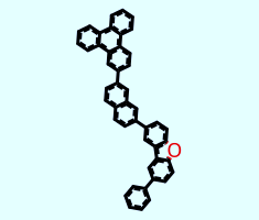 c1ccc(-c2ccc3oc4ccc(-c5ccc6ccc(-c7ccc8c9ccccc9c9ccccc9c8c7)cc6c5)cc4c3c2)cc1